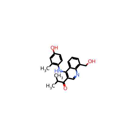 Cc1cc(O)ccc1Nc1c(C(=O)C(C)C)cnc2c(CO)cccc12